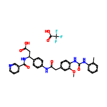 COc1cc(CC(=O)Nc2ccc(C(CC(=O)O)NC(=O)c3cccnc3)cc2)ccc1NC(=O)Nc1ccccc1C.O=C(O)C(F)(F)F